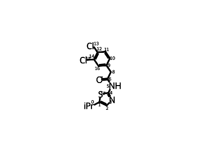 CC(C)c1cnc(NC(=O)Cc2ccc(Cl)c(Cl)c2)s1